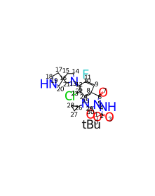 CC(C)(C)OC(=O)Nn1c(=O)c2cc(F)c(N3CCC4(CCNC4)C3)c(Cl)c2n(C2CC2)c1=O